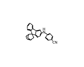 N#Cc1ccc(Nc2ccc3c(c2)-c2ccccc2C32CC3CCC2C3)cc1